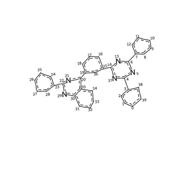 c1ccc(-c2nc(-c3ccccc3)nc(-c3cccc(-c4nc(-c5ccccc5)nc5ccccc45)c3)n2)cc1